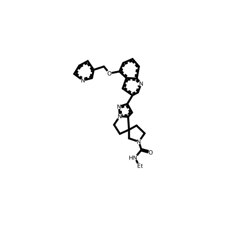 CCNC(=O)N1CCC2(CCn3nc(-c4cnc5cccc(OCc6cccnc6)c5c4)cc32)C1